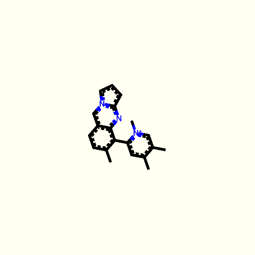 Cc1cc(-c2c(C)ccc3cn4cccc4nc23)[n+](C)cc1C